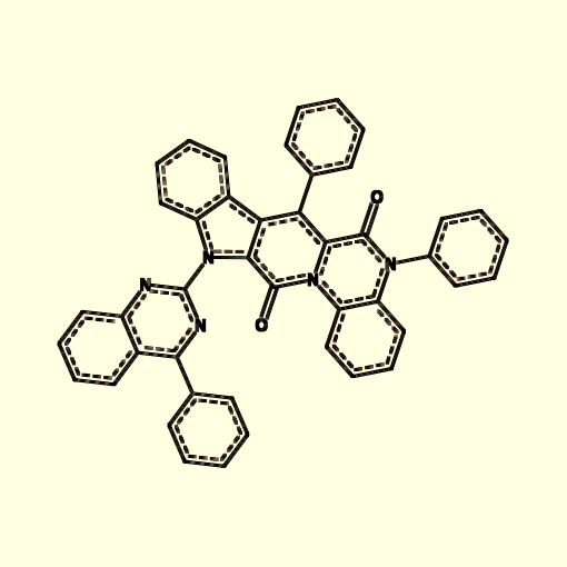 O=c1c2c(-c3ccccc3)c3c4ccccc4n(-c4nc(-c5ccccc5)c5ccccc5n4)c3c(=O)n2c2ccccc2n1-c1ccccc1